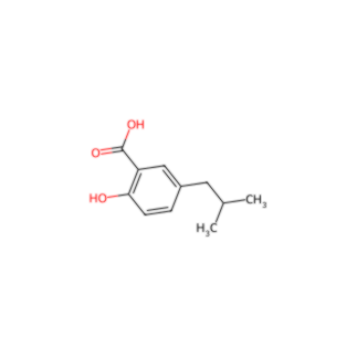 CC(C)Cc1ccc(O)c(C(=O)O)c1